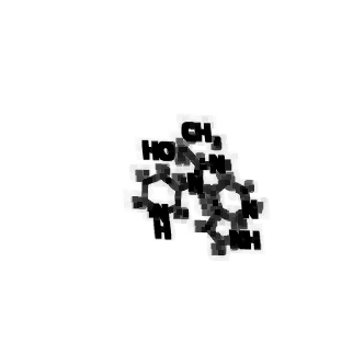 C[C@@H](O)c1nc2cnc3[nH]ccc3c2n1C1CCCNC1